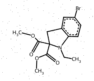 CCN1c2ccc(Br)cc2CC1(C(=O)OC)C(=O)OC